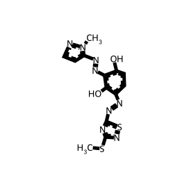 CSc1nsc(/N=N/c2ccc(O)c(/N=N/c3ccnn3C)c2O)n1